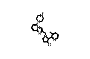 Cc1cccnc1C1C(=O)CCN1Cc1cn2c(N3CCN(C)CC3)cccc2n1